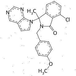 COc1ccc(CN2C(=O)c3c(Cl)cccc3C2(C)n2ccc3cncnc32)cc1